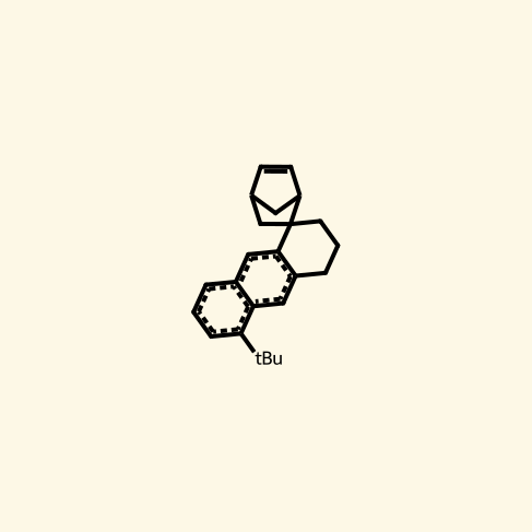 CC(C)(C)c1cccc2cc3c(cc12)CCCC31CC2C=CC1C2